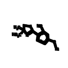 CCOc1ccc(C2=N[C@@](C)(C(=O)O)CS2)c(O)c1